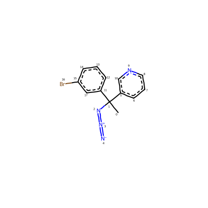 CC(N=[N+]=[N-])(c1cccnc1)c1cccc(Br)c1